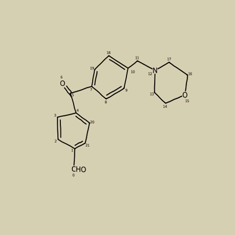 O=Cc1ccc(C(=O)c2ccc(CN3CCOCC3)cc2)cc1